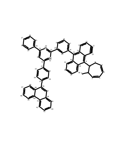 CC1C=CC=CCC1c1c2c#cccc2c(-c2cccc(-c3nc(-c4ccccc4)cc(-c4ccc(-c5cc6ccccc6c6ccccc56)cc4)n3)c2)c2ccccc12